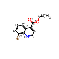 CCOC(=O)c1ccnc2c(Br)cccc12